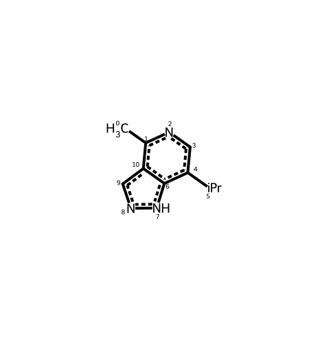 Cc1ncc(C(C)C)c2[nH]ncc12